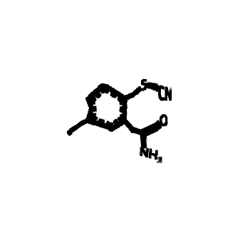 Cc1ccc(SC#N)c(C(N)=O)c1